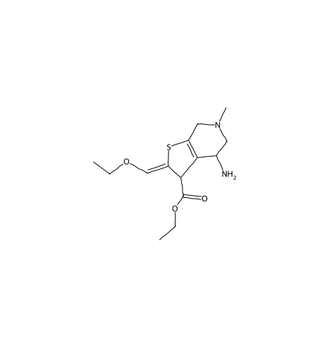 CCOC=C1SC2=C(C(N)CN(C)C2)C1C(=O)OCC